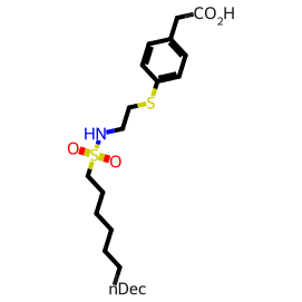 CCCCCCCCCCCCCCCCS(=O)(=O)NCCSc1ccc(CC(=O)O)cc1